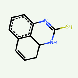 SC1=Nc2cccc3c2C(CC=C3)N1